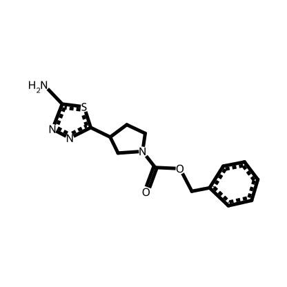 Nc1nnc(C2CCN(C(=O)OCc3ccccc3)C2)s1